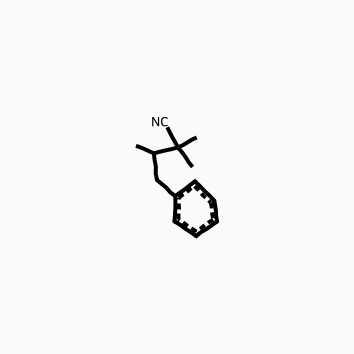 CC(Cc1ccccc1)C(C)(C)C#N